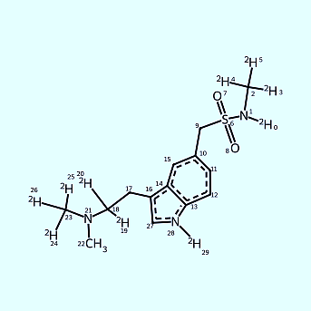 [2H]N(C([2H])([2H])[2H])S(=O)(=O)Cc1ccc2c(c1)c(CC([2H])([2H])N(C)C([2H])([2H])[2H])cn2[2H]